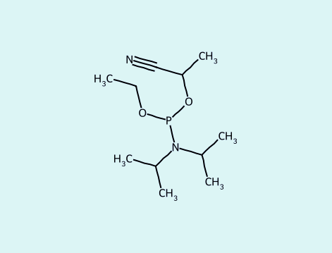 CCOP(OC(C)C#N)N(C(C)C)C(C)C